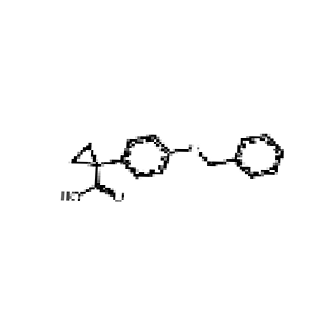 O=C(O)C1(c2ccc(OCc3ccccc3)cc2)CC1